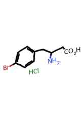 Cl.NC(CC(=O)O)Cc1ccc(Br)cc1